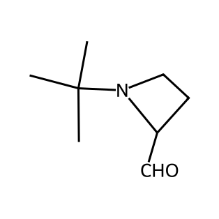 CC(C)(C)N1CCC1C=O